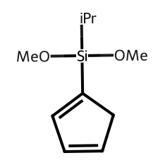 CO[Si](OC)(C1=CC=CC1)C(C)C